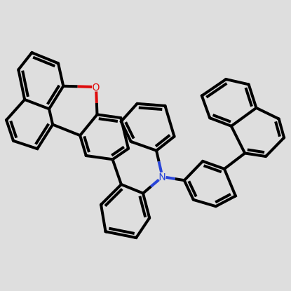 c1ccc(N(c2cccc(-c3cccc4ccccc34)c2)c2ccccc2-c2ccc3c(c2)-c2cccc4cccc(c24)O3)cc1